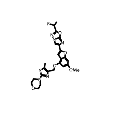 COc1cc(OCc2nc(N3CCOCC3)sc2C)c2cc(-c3cn4nc(C(C)F)oc4n3)oc2c1